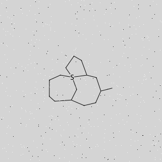 CC1CCC2CCCCS3(CCCC3C1)C2